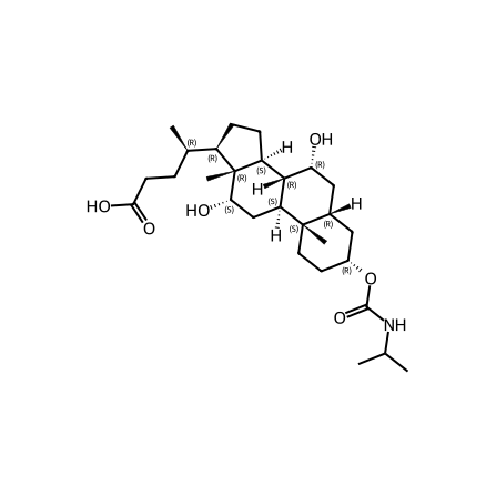 CC(C)NC(=O)O[C@@H]1CC[C@@]2(C)[C@@H](C1)C[C@@H](O)[C@@H]1[C@@H]2C[C@H](O)[C@]2(C)[C@@H]([C@H](C)CCC(=O)O)CC[C@@H]12